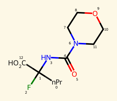 CCCC(F)(NC(=O)N1CCOCC1)C(=O)O